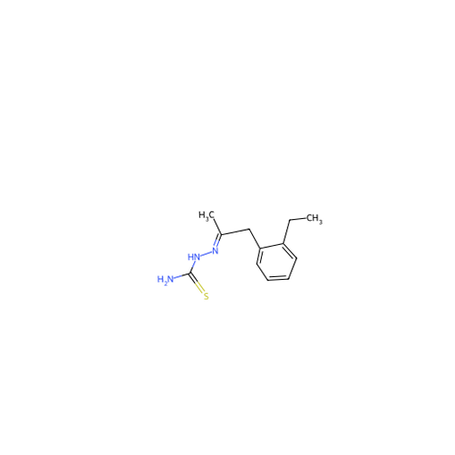 CCc1ccccc1CC(C)=NNC(N)=S